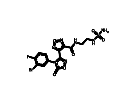 NS(=O)(=O)NCCNC(=O)c1nonc1-c1noc(=O)n1-c1ccc(F)c(Br)c1